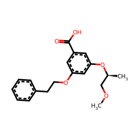 COC[C@H](C)Oc1cc(OCCc2ccccc2)cc(C(=O)O)c1